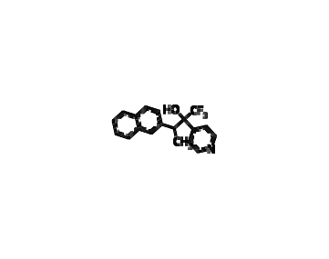 CC(c1ccc2ccccc2c1)C(O)(c1ccncc1)C(F)(F)F